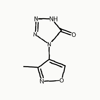 Cc1nocc1-n1nn[nH]c1=O